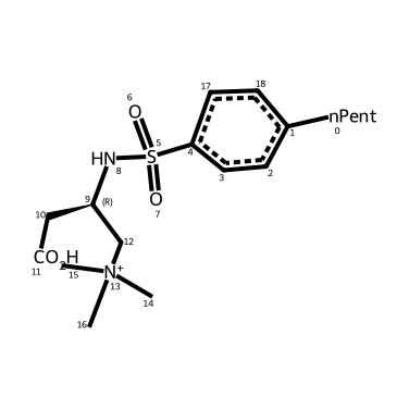 CCCCCc1ccc(S(=O)(=O)N[C@H](CC(=O)O)C[N+](C)(C)C)cc1